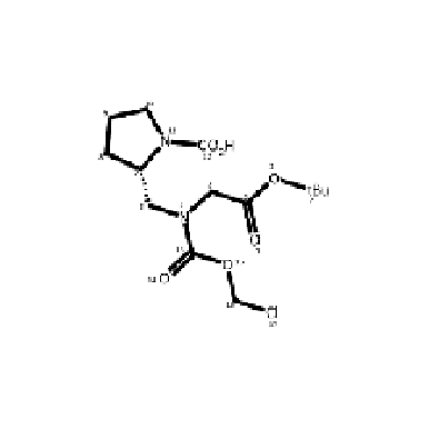 CC(C)(C)OC(=O)CN(C[C@@H]1CCCN1C(=O)O)C(=O)OCCl